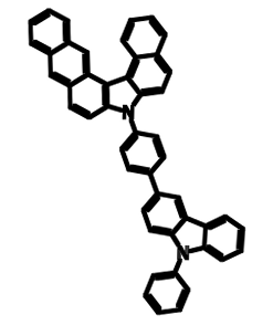 c1ccc(-n2c3ccccc3c3cc(-c4ccc(-n5c6ccc7ccccc7c6c6c7cc8ccccc8cc7ccc65)cc4)ccc32)cc1